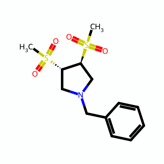 CS(=O)(=O)[C@H]1CN(Cc2ccccc2)C[C@@H]1S(C)(=O)=O